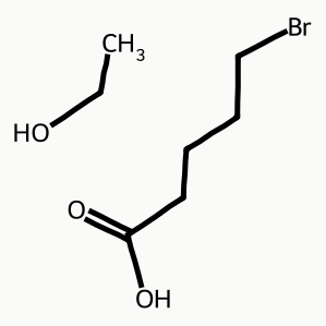 CCO.O=C(O)CCCCBr